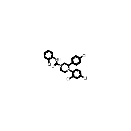 O=C(Nc1ccccc1Cl)N1CCN(c2ccc(Cl)cc2Cl)C(c2ccc(Cl)cc2)C1